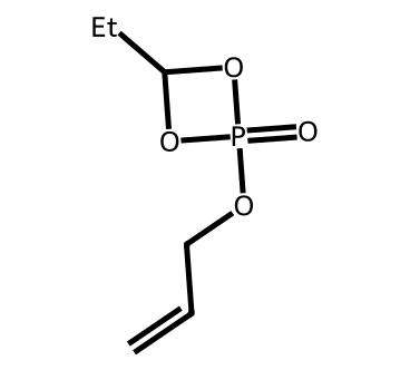 C=CCOP1(=O)OC(CC)O1